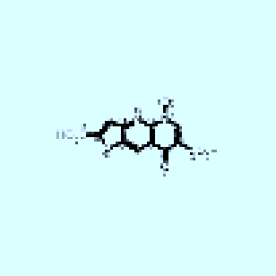 CCn1cc(C(=O)O)c(=O)c2cc3oc(C(=O)O)cc3nc21